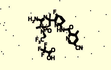 Cc1cc(C#N)cnc1C(=O)Nc1ccc(F)c([C@]2(C)C[S@@](=O)(=NCC(F)(F)F)N(C)C(N)=N2)n1.O=C(O)C(F)(F)F